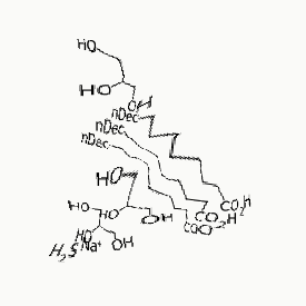 CCCCCCCCCCCCCCCCCC(=O)O.CCCCCCCCCCCCCCCCCC(=O)O.CCCCCCCCCCCCCCCCCC(=O)[O-].OCC(O)CO.OCC(O)CO.OCC(O)CO.S.[Na+]